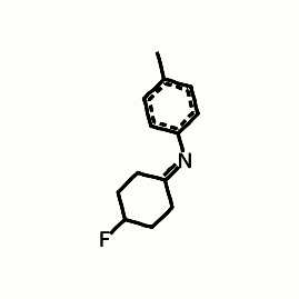 Cc1ccc(N=C2CCC(F)CC2)cc1